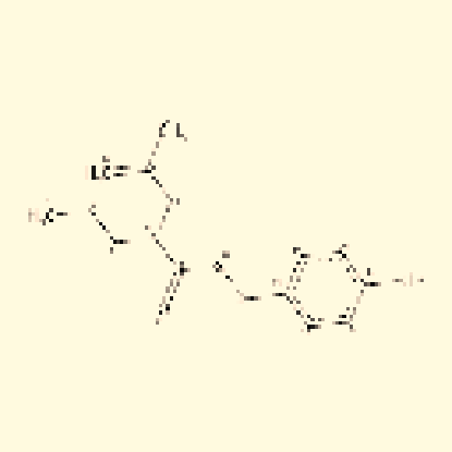 C=C(C)CN(CCC)C(=O)SCc1ccc(Cl)cc1